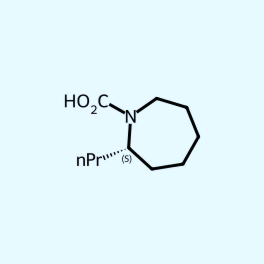 CCC[C@H]1CCCCCN1C(=O)O